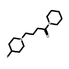 O=C(CCCN1CCC(I)CC1)N1CCCCC1